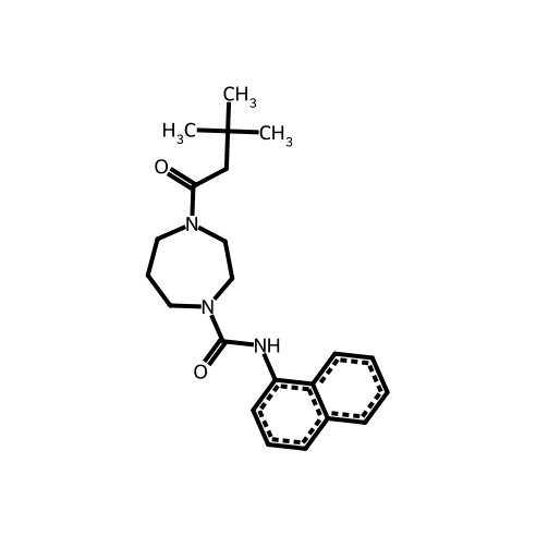 CC(C)(C)CC(=O)N1CCCN(C(=O)Nc2cccc3ccccc23)CC1